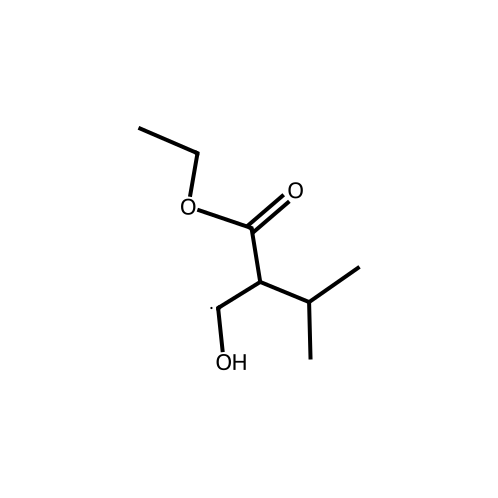 CCOC(=O)C([CH]O)C(C)C